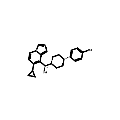 Oc1ccc([C@H]2CC[C@H]([C@@H](O)c3c(C4CC4)ccn4cncc34)CC2)cc1